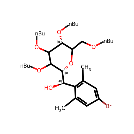 CCCCOCC1O[C@H]([C@H](O)c2c(C)cc(Br)cc2C)C(OCCCC)C(OCCCC)[C@@H]1OCCCC